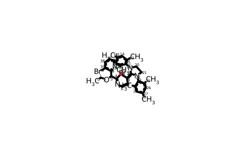 CCOC(C1=NC=CC(=C2N(c3c(C)cc(C)cc3C)CCN2c2c(C)cc(C)cc2C)C1Br)c1ncccc1Br